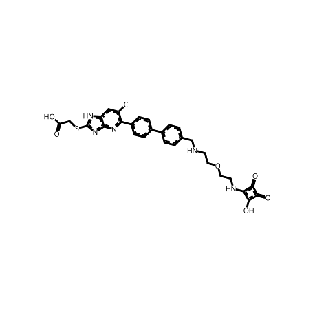 O=C(O)CSc1nc2nc(-c3ccc(-c4ccc(CNCCOCCNc5c(O)c(=O)c5=O)cc4)cc3)c(Cl)cc2[nH]1